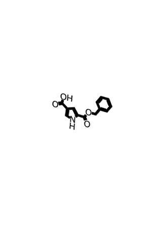 O=C(O)c1c[nH]c(C(=O)OCc2ccccc2)c1